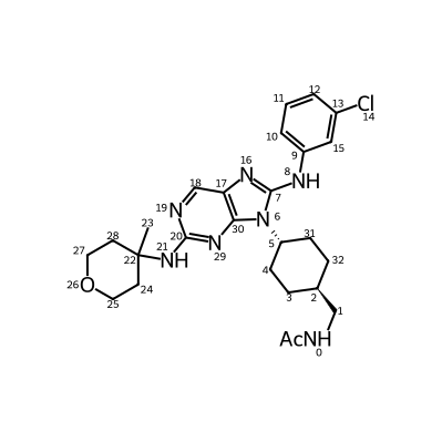 CC(=O)NC[C@H]1CC[C@H](n2c(Nc3cccc(Cl)c3)nc3cnc(NC4(C)CCOCC4)nc32)CC1